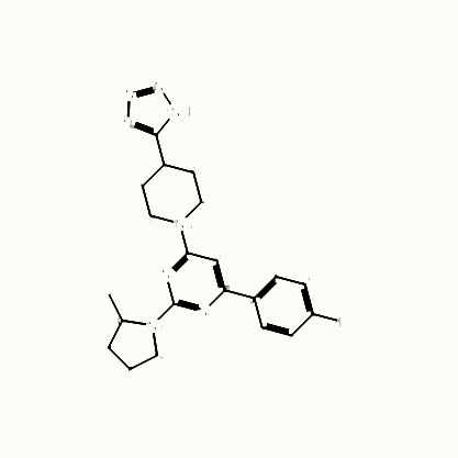 CC1CCCN1c1nc(-c2ccc(F)cc2)cc(N2CCC(c3nnn[nH]3)CC2)n1